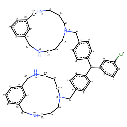 Clc1cccc(C(c2ccc(CN3CCCNCc4cccc(c4)CNCCC3)cc2)c2ccc(CN3CCCNCc4cccc(c4)CNCCC3)cc2)c1